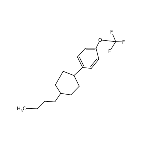 CCCCC1CCC(c2ccc(OC(F)(F)F)cc2)CC1